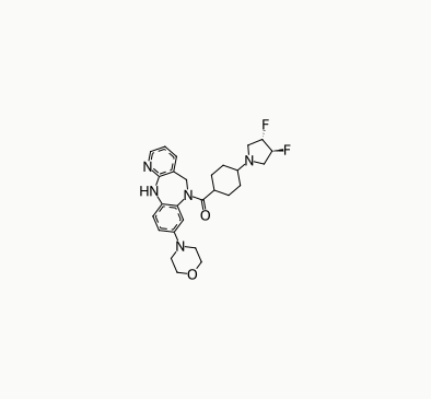 O=C(C1CCC(N2C[C@H](F)[C@@H](F)C2)CC1)N1Cc2cccnc2Nc2ccc(N3CCOCC3)cc21